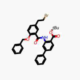 CC(C)(C)OC(=O)c1ccc(-c2ccccc2)cc1NC(=O)c1cc(CCBr)ccc1OCc1ccccc1